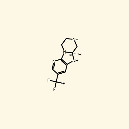 FC(F)(F)c1cnc2c(c1)N[C@@H]1CNCCN21